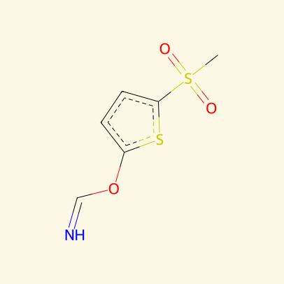 CS(=O)(=O)c1ccc(OC=N)s1